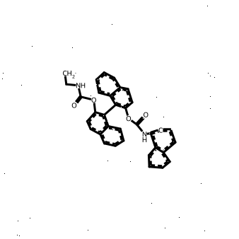 [CH2]CNC(=O)Oc1ccc2ccccc2c1-c1c(OC(=O)Nc2cccc3ccccc23)ccc2ccccc12